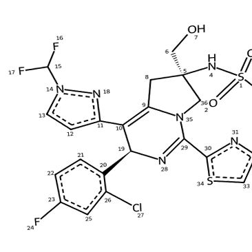 CS(=O)(=O)N[C@]1(CO)CC2=C(c3ccn(C(F)F)n3)[C@H](c3ccc(F)cc3Cl)N=C(c3nccs3)N2C1